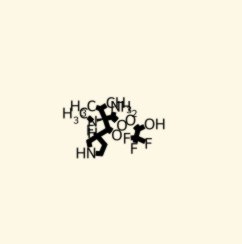 CN[C@@](C(N)=O)(C(=O)[C@]1(F)CCNC1)C(C)C.O=C(O)C(F)(F)F